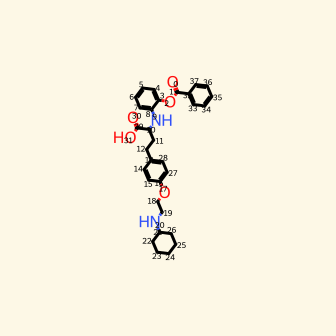 O=C(Oc1ccccc1NC(CCc1ccc(OCCNC2CCCCC2)cc1)C(=O)O)c1ccccc1